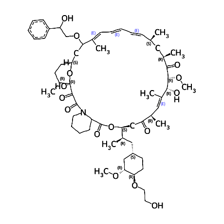 CO[C@@H]1C[C@H](C[C@@H](C)[C@@H]2CC(=O)[C@H](C)/C=C(\C)[C@@H](O)[C@@H](OC)C(=O)[C@H](C)C[C@H](C)/C=C/C=C/C=C(\C)C(OCC(O)c3ccccc3)C[C@@H]3CC[C@@H](C)[C@@](O)(O3)C(=O)C(=O)N3CCCCC3C(=O)O2)CC[C@H]1OCCO